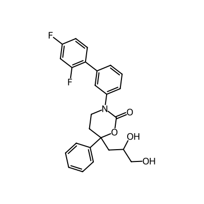 O=C1OC(CC(O)CO)(c2ccccc2)CCN1c1cccc(-c2ccc(F)cc2F)c1